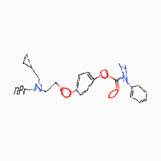 CCCN(CCOc1ccc(OC(=O)Nc2ccccc2)cc1)CC1CC1